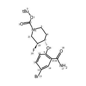 CC(C)(C)OC(=O)N1CC[C@H](Oc2ccc(Br)cc2C(N)=O)[C@@H](F)C1